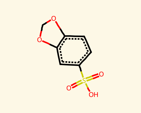 O=S(=O)(O)c1ccc2c(c1)OCO2